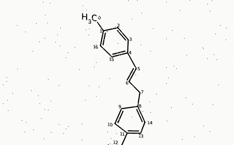 Cc1ccc(C=CCc2ccc(C)cc2)cc1